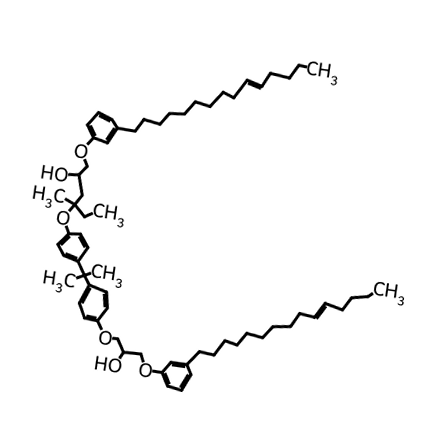 CCCC/C=C/CCCCCCCCCc1cccc(OCC(O)COc2ccc(C(C)(C)c3ccc(OC(C)(CC)CC(O)COc4cccc(CCCCCCCCC/C=C/CCCC)c4)cc3)cc2)c1